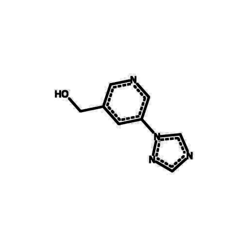 OCc1cncc(-n2cncn2)c1